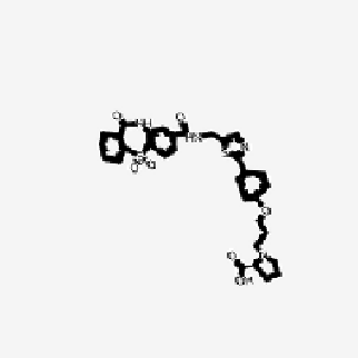 O=C(NCc1cnc(-c2ccc(OCCCN3CCC[C@H]3C(=O)O)cc2)s1)c1ccc2c(c1)NC(=O)c1ccccc1S2(=O)=O